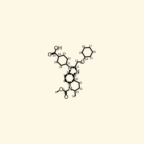 COC(=O)N1c2ccc3c(nc(COC4CCCCC4)n3C3CCC(C(=O)O)CC3)c2CCC1C